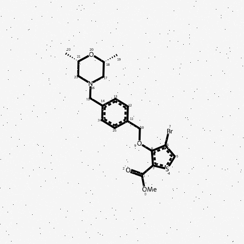 COC(=O)c1scc(Br)c1OCc1ccc(CN2C[C@@H](C)O[C@@H](C)C2)cc1